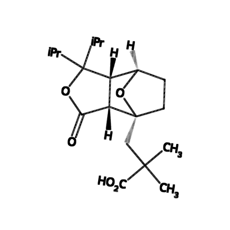 CC(C)C1(C(C)C)OC(=O)[C@@H]2[C@H]1[C@H]1CC[C@]2(CC(C)(C)C(=O)O)O1